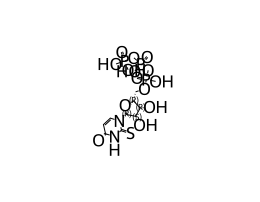 O=c1ccn([C@@H]2O[C@H](COP(=O)(O)OP(=O)(O)OP(=O)(O)O)[C@H](O)[C@@H]2O)c(=S)[nH]1